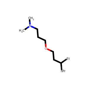 CCCC(CC)CCOCCCN(C)C